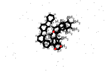 Bc1c(B)c(B)c(-c2cc(-c3c(B)c(B)c(B)c(O)c3B)cc(-n3c4ccccc4c4ccc5c6ccccc6n(-c6nc(-c7ccccc7)nc(-c7ccccc7-c7ccccc7)n6)c5c43)c2)c(B)c1B